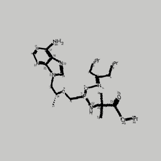 CC(C)CC(CC(C)C)=NOP(CO[C@H](C)Cn1cnc2c(N)ncnc21)NC(C)(C)C(=O)OC(C)C